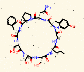 CC[C@H](C)[C@@H]1NC(=O)[C@H](CO)NC(=O)[C@H]([C@@H](C)O)NC(=O)[C@H]([C@@H](C)O)NC(=O)[C@H](Cc2ccccc2)NC(=O)[C@@H]2CCCN2C(=O)[C@H](CC(N)=O)NC(=O)[C@H](Cc2ccc(O)cc2)NC(=O)[C@H](C)NC1=O